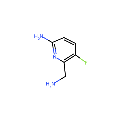 NCc1nc(N)ccc1F